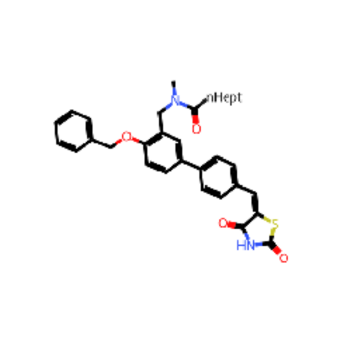 CCCCCCCC(=O)N(C)Cc1cc(-c2ccc(/C=C3/SC(=O)NC3=O)cc2)ccc1OCc1ccccc1